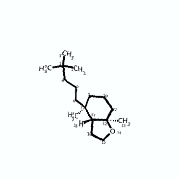 CC(C)(C)CCC[C@@]1(C)CCC[C@@]2(C)OCC[C@H]12